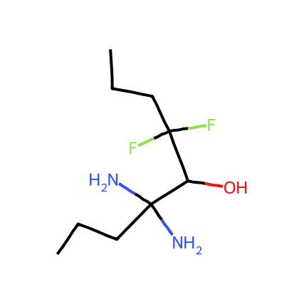 CCCC(N)(N)C(O)C(F)(F)CCC